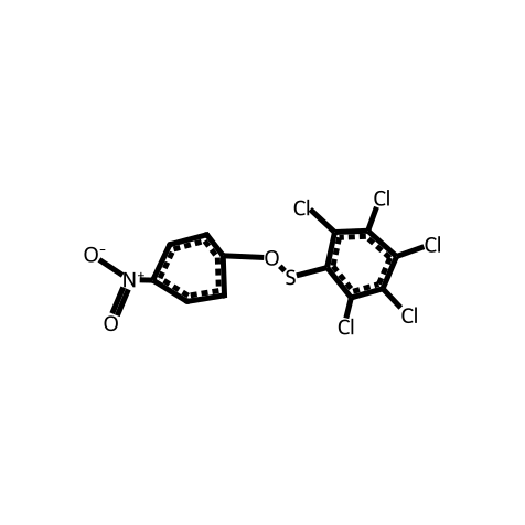 O=[N+]([O-])c1ccc(OSc2c(Cl)c(Cl)c(Cl)c(Cl)c2Cl)cc1